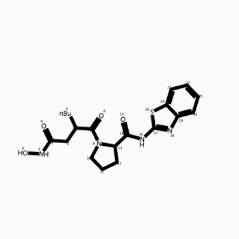 CCCCC(CC(=O)NO)C(=O)N1CCCC1C(=O)Nc1nc2ccccc2s1